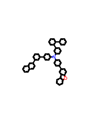 c1ccc(-c2ccccc2-c2cccc(N(c3ccc(-c4cccc(-c5ccc6ccccc6c5)c4)cc3)c3ccc(-c4ccc5oc6ccccc6c5c4)cc3)c2)cc1